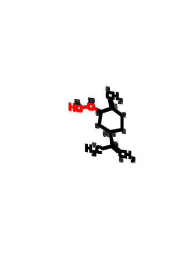 C=C1CC[C@@H](C(=C)C)CC1OO